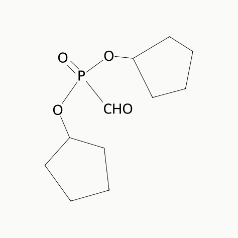 O=CP(=O)(OC1CCCC1)OC1CCCC1